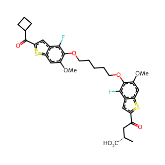 COc1cc2sc(C(=O)C[C@H](C)C(=O)O)cc2c(F)c1OCCCCCOc1c(OC)cc2sc(C(=O)C3CCC3)cc2c1F